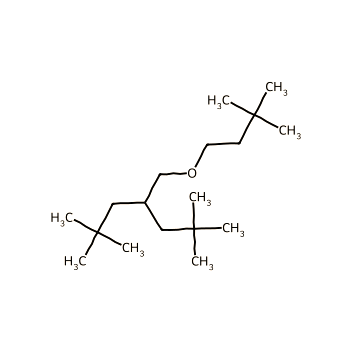 CC(C)(C)CCOCC(CC(C)(C)C)CC(C)(C)C